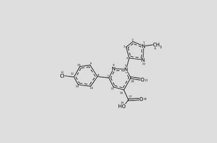 Cn1ccc(-n2nc(-c3ccc(Cl)cc3)cc(C(=O)O)c2=O)n1